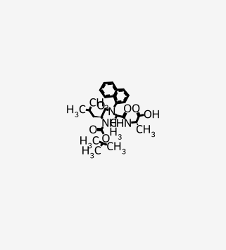 CC(C)C[C@H](NC(=O)OC(C)(C)C)C(=O)N(c1cccc2ccccc12)C(C)C(=O)N[C@@H](C)C(=O)O